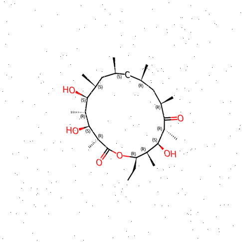 CC[C@H]1OC(=O)[C@H](C)[C@@H](O)[C@H](C)[C@@H](O)[C@@H](C)C[C@@H](C)C[C@@H](C)C[C@@H](C)C(=O)[C@H](C)[C@@H](O)[C@H]1C